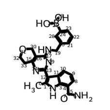 Cc1[nH]c2c(C(N)=O)cccc2c1-c1nc2c(c(NCc3cccc(B(O)O)c3)n1)COCC2